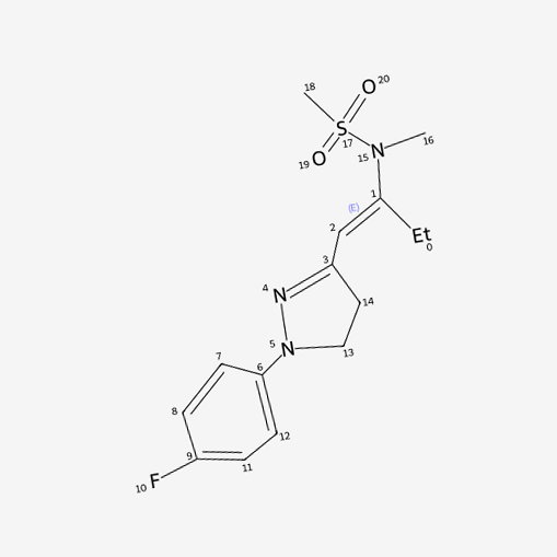 CC/C(=C\C1=NN(c2ccc(F)cc2)CC1)N(C)S(C)(=O)=O